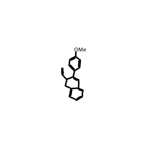 C=CC1Cc2ccccc2C=C1c1ccc(OC)cc1